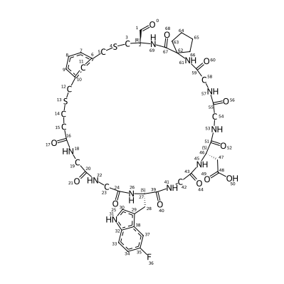 O=C[C@@H]1CSCc2cccc(c2)CSCCC(=O)NCC(=O)NCC(=O)N[C@@H](Cc2c[nH]c3ccc(F)cc23)C(=O)NCC(=O)N[C@@H](CC(=O)O)C(=O)NCC(=O)NCC(=O)NC2(CCCC2)C(=O)N1